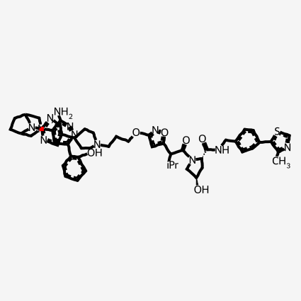 Cc1ncsc1-c1ccc(CNC(=O)[C@@H]2C[C@@H](O)CN2C(=O)C(c2cc(OCCCN3CCC(c4cnc(N5C6CCC5CN(c5cc(-c7ccccc7O)nnc5N)C6)nc4)CC3)no2)C(C)C)cc1